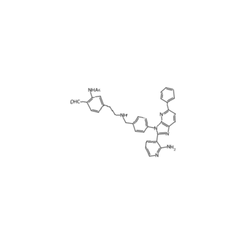 CC(=O)Nc1cc(CCNCc2ccc(-n3c(-c4cccnc4N)nc4ccc(-c5ccccc5)nc43)cc2)ccc1C=O